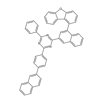 c1ccc(-c2nc(-c3ccc(-c4ccc5ccccc5c4)cc3)nc(-c3cc(-c4cccc5oc6ccccc6c45)c4ccccc4c3)n2)cc1